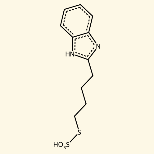 O=S(=O)(O)SCCCCc1nc2ccccc2[nH]1